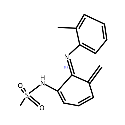 C=C1C=CC=C(NS(C)(=O)=O)/C1=N/c1ccccc1C